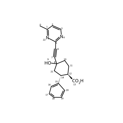 Cc1ccnc(C#CC2(O)CC[C@@H](C(=O)O)[C@H](c3ccccc3)C2)n1